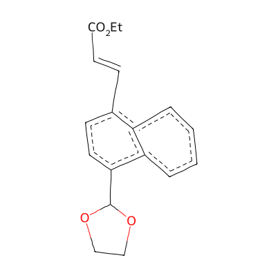 CCOC(=O)C=Cc1ccc(C2OCCO2)c2ccccc12